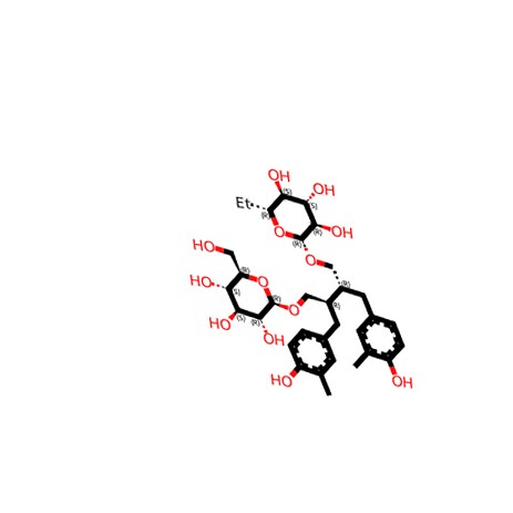 CC[C@H]1O[C@@H](OC[C@H](Cc2ccc(O)c(C)c2)[C@H](CO[C@@H]2O[C@H](CO)[C@@H](O)[C@H](O)[C@H]2O)Cc2ccc(O)c(C)c2)[C@H](O)[C@@H](O)[C@@H]1O